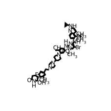 CCc1cc(Nc2ncc(Br)c(Nc3ccc4nc(NC5CC5)ccc4c3P(C)(C)=O)n2)c(OC)cc1N1CCC(N2CCN(CCC3=CC(F)C(C)([C@H]4CCC(=O)NC4O)C(F)=C3)CC2)CC1